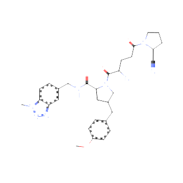 COc1ccc(CC2CC(C(=O)NCc3ccc4c(c3)nnn4C)N(C(=O)C(N)CCC(=O)N3CCCC3C#N)C2)cc1